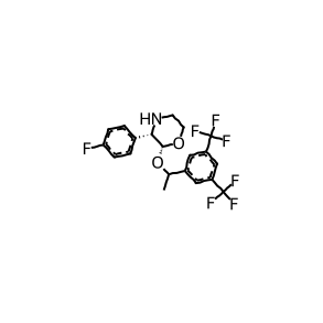 CC(O[C@H]1OCCN[C@H]1c1ccc(F)cc1)c1cc(C(F)(F)F)cc(C(F)(F)F)c1